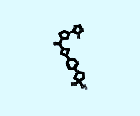 O=C(N1CC(c2ccc(N3CCC(O)(C(F)(F)F)C3)nc2)C1)N1CC[C@H](c2ncn[nH]2)C1